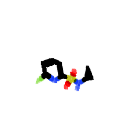 O=S(=O)(NC1CC1)c1cccc(F)n1